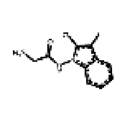 Cc1c(Cl)n(NC(=O)CN)c2ccccc12